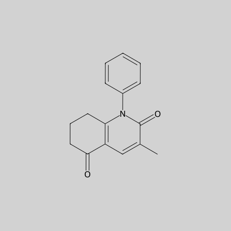 Cc1cc2c(n(-c3ccccc3)c1=O)CCCC2=O